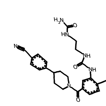 Cc1ccc(C(=O)N2CCC(c3ccc(C#N)cc3)CC2)cc1NC(=O)NCCNC(N)=O